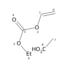 C=COC(=O)OCC.CC(=O)O